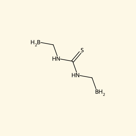 BCNC(=S)NCB